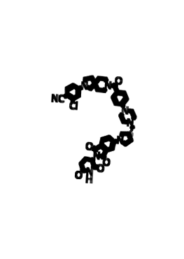 N#Cc1ccc(N2CCC3(CCN(C(=O)c4ccc(N5CCN(C[C@@H]6CCN(c7ccc8c(c7)C(=O)N(C7CCC(=O)NC7=O)C8=O)C6)CC5)cc4)CC3)C2)cc1Cl